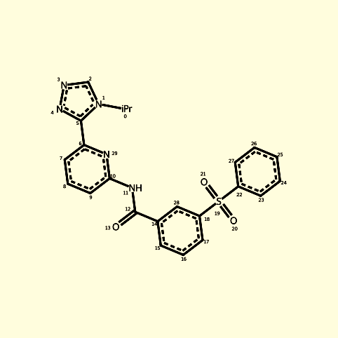 CC(C)n1cnnc1-c1cccc(NC(=O)c2cccc(S(=O)(=O)c3ccccc3)c2)n1